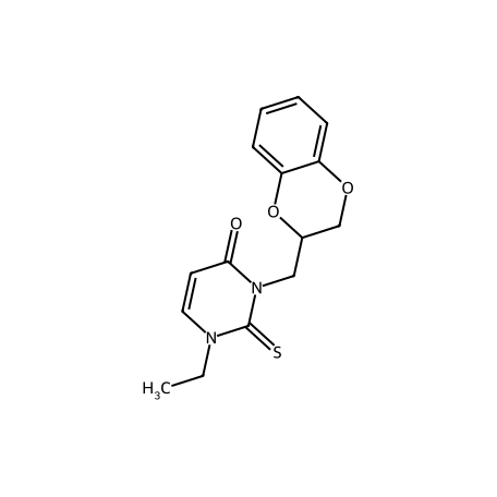 CCn1ccc(=O)n(CC2COc3ccccc3O2)c1=S